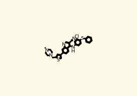 CN1CCN(Cc2cc(-c3ccc4c(Nc5ccc(Sc6ccccc6)c(Cl)c5)c(C#N)cnc4c3)cs2)CC1